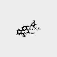 CCCN(Cc1ccc(-c2ccccc2C(=N)NOC(=O)OC)cc1)c1nn(C)cc1C(=O)OCC